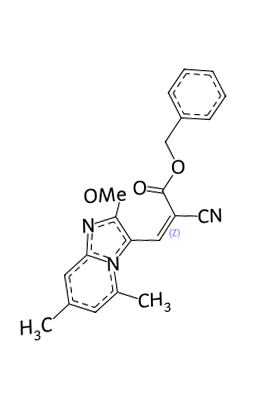 COc1nc2cc(C)cc(C)n2c1/C=C(/C#N)C(=O)OCc1ccccc1